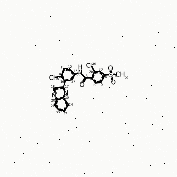 CS(=O)(=O)c1ccc(C(=O)Nc2ccc(Cl)c(-c3cnc4ccccc4n3)c2)c(Cl)c1